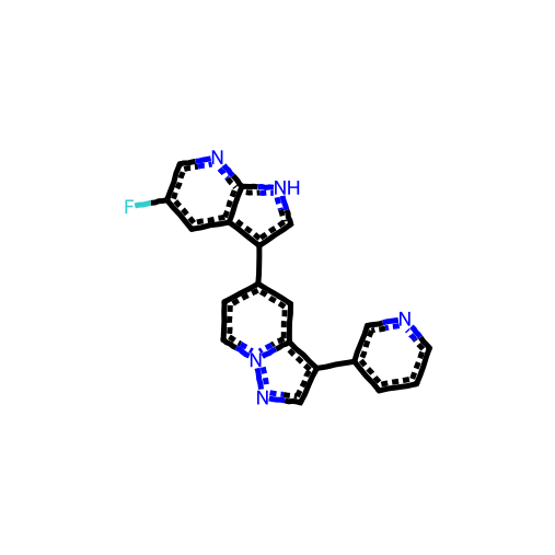 Fc1cnc2[nH]cc(-c3ccn4ncc(-c5cccnc5)c4c3)c2c1